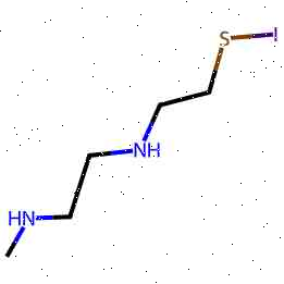 CNCCNCCSI